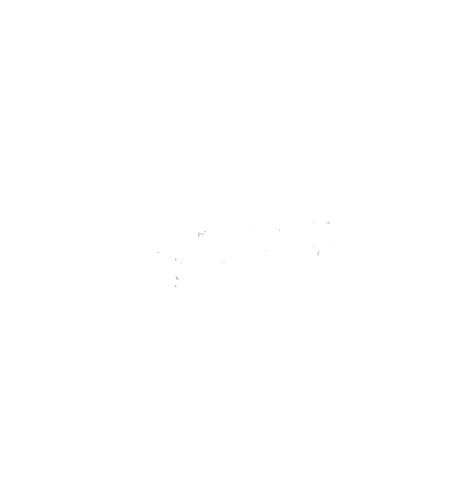 Cc1cnn(-c2ccc(S(=O)(=O)Nc3cccc4cnn(C)c34)cn2)n1